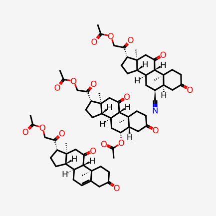 CC(=O)OCC(=O)[C@H]1CC[C@H]2[C@@H]3CC=C4CC(=O)CC[C@]4(C)[C@H]3C(=O)C[C@]12C.CC(=O)OCC(=O)[C@H]1CC[C@H]2[C@@H]3C[C@@H](OC(C)=O)[C@H]4CC(=O)CC[C@]4(C)[C@H]3C(=O)C[C@]12C.CC(=O)OCC(=O)[C@H]1CC[C@H]2[C@@H]3C[C@H](C#N)[C@@H]4CC(=O)CC[C@]4(C)[C@H]3C(=O)C[C@]12C